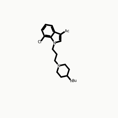 CCCCC1CCN(CCCn2cc(C(C)=O)c3cccc(Cl)c32)CC1